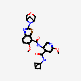 COc1cc(C(=O)NC23CC(C2)C3)c(NC(=O)c2c(OC)ccc3nc(N4C5COCC4C5)sc23)cn1